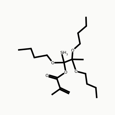 C=C(C)C(=O)OC([SiH3])(OCCCC)C(C)(OCCCC)OCCCC